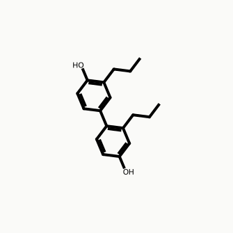 CCCc1cc(-c2ccc(O)cc2CCC)ccc1O